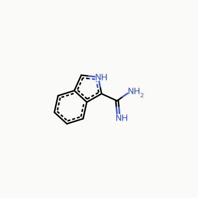 N=C(N)c1[nH]cc2ccccc12